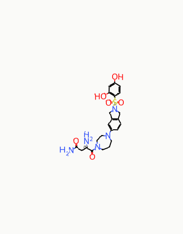 NC(=O)C[C@H](N)C(=O)N1CCCN(c2ccc3c(c2)CN(S(=O)(=O)c2ccc(O)cc2O)C3)CC1